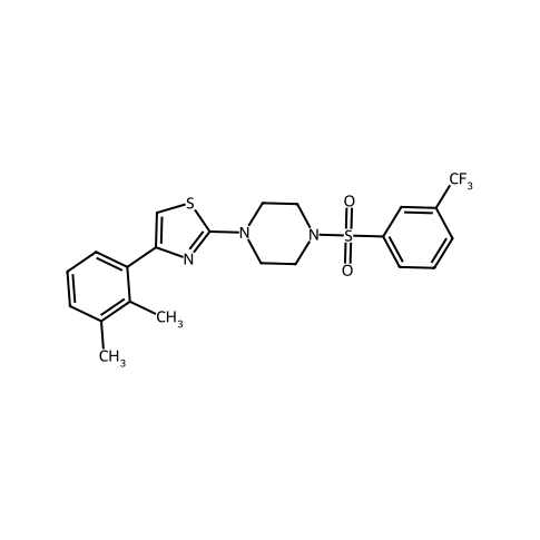 Cc1cccc(-c2csc(N3CCN(S(=O)(=O)c4cccc(C(F)(F)F)c4)CC3)n2)c1C